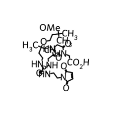 COC(C)(C)CCOC(C)(C)CCNP(=O)(NCCN1C(=O)C=CC1=O)NCC(=O)NCC(=O)NCC(=O)O